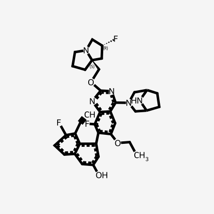 C#Cc1c(F)ccc2cc(O)cc(-c3c(OCC)cc4c(N5CC6CCC(C5)N6)nc(OC[C@@]56CCCN5C[C@H](F)C6)nc4c3F)c12